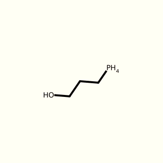 OCCC[PH4]